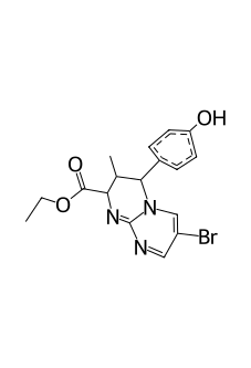 CCOC(=O)C1N=C2N=CC(Br)=CN2C(c2ccc(O)cc2)C1C